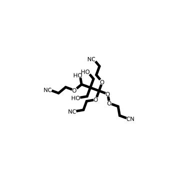 N#CCCOOC(OCCC#N)(OCCC#N)C(CO)(CO)C(O)OCCC#N